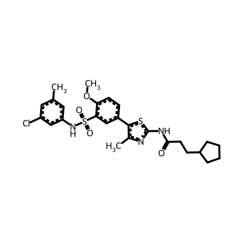 COc1ccc(-c2sc(NC(=O)CCC3CCCC3)nc2C)cc1S(=O)(=O)Nc1cc(C)cc(Cl)c1